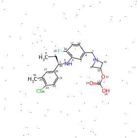 CC[C@@H](Nc1cc(CN2CC(OC(=O)O)C2)ccc1F)c1ccc(Cl)c(C)c1